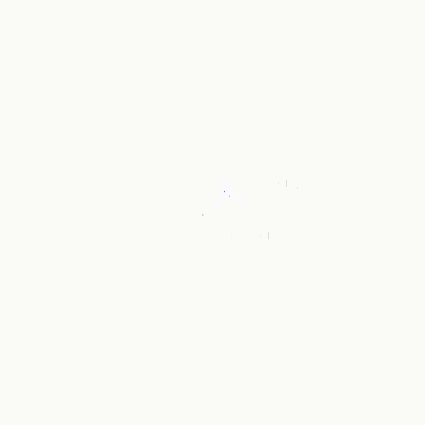 CC(C)NC1(C)CC2CC2C1